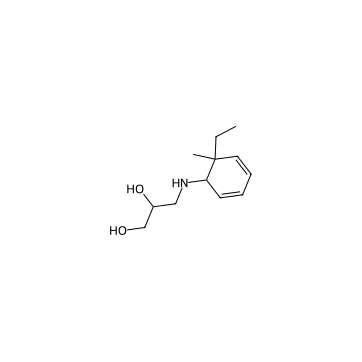 CCC1(C)C=CC=CC1NCC(O)CO